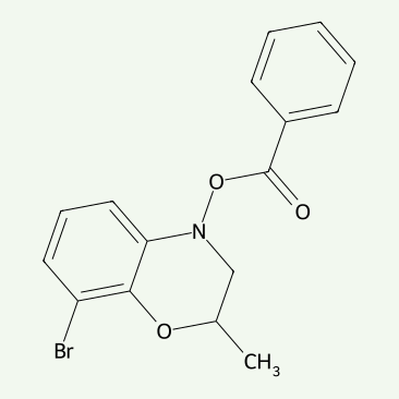 CC1CN(OC(=O)c2ccccc2)c2cccc(Br)c2O1